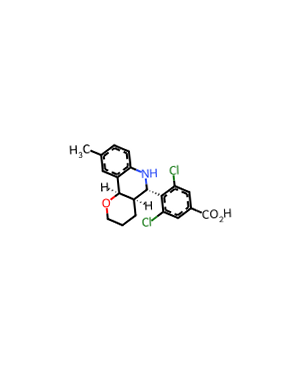 Cc1ccc2c(c1)[C@@H]1OCCC[C@@H]1[C@@H](c1c(Cl)cc(C(=O)O)cc1Cl)N2